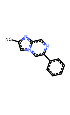 N#Cc1cn2cc(-c3ccccc3)ncc2n1